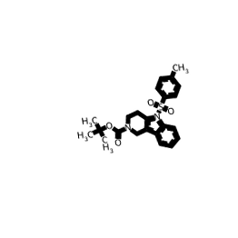 Cc1ccc(S(=O)(=O)n2c3c(c4ccccc42)CN(C(=O)OC(C)(C)C)CC3)cc1